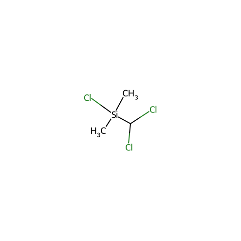 C[Si](C)(Cl)C(Cl)Cl